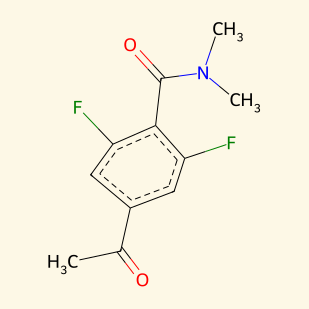 CC(=O)c1cc(F)c(C(=O)N(C)C)c(F)c1